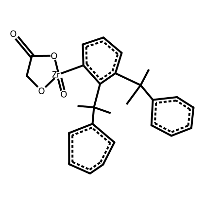 CC(C)(c1ccccc1)c1ccc[c]([Zr]2(=[O])[O]CC(=O)[O]2)c1C(C)(C)c1ccccc1